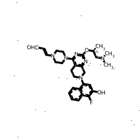 C[C@@H](CN(C)C)Oc1nc2c(c(N3CCN(C=CC=O)CC3)n1)CCN(c1cc(O)c(F)c3ccccc13)C2